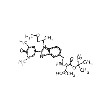 COCC(C)n1c(-c2cc(C)c(=O)n(C)c2)nc2cc(CN[C@H](C(=O)OC(C)(C)C)[C@@H](C)O)ccc21